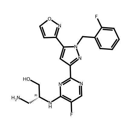 NC[C@H](CO)Nc1nc(-c2cc(-c3ccon3)n(Cc3ccccc3F)n2)ncc1F